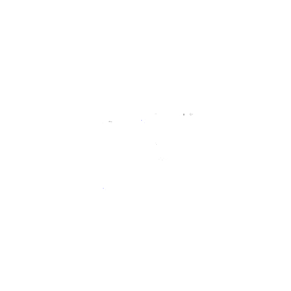 CCCCCCCCCCCC(=O)N(C(=O)CCCCCCC)C(CCCCN)C(=O)OC